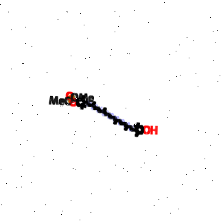 COP(=O)(OC)OC1C=C(C)C(/C=C/C(C)=C/C=C/C(C)=C/C=C/C=C(C)/C=C/C=C(C)/C=C/C2=C(C)CC(O)CC2(C)C)C(C)(C)C1